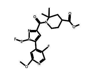 COC(=O)C1CCN(C(=O)c2cc(-c3cc(OC)ncc3F)n(SF)n2)C(C)(C)C1